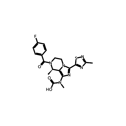 Cc1nsc(-c2nc(N(C)C(=O)O)c3n2CCN(C(=O)c2ccc(F)cc2)[C@@H]3C)n1